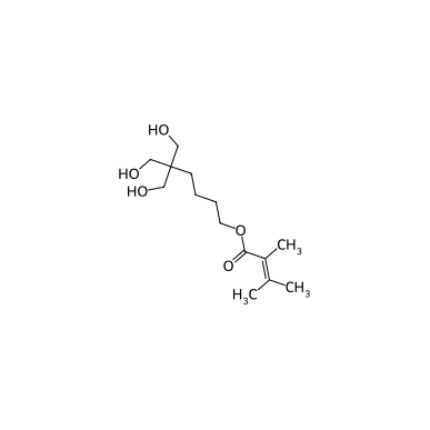 CC(C)=C(C)C(=O)OCCCCC(CO)(CO)CO